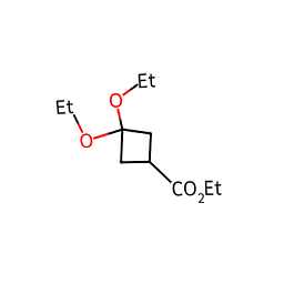 CCOC(=O)C1CC(OCC)(OCC)C1